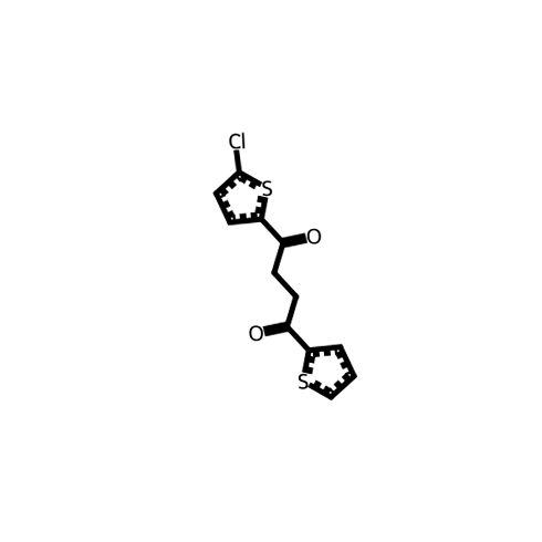 O=C(CCC(=O)c1ccc(Cl)s1)c1cccs1